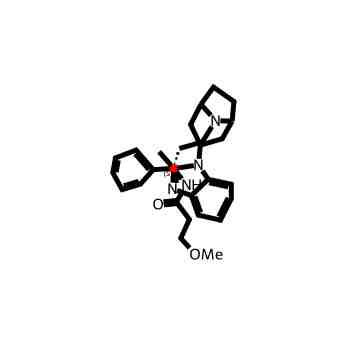 COCCC(=O)N[C@@H](CCN1C2CCC1CC(n1c(C)nc3ccccc31)C2)c1ccccc1